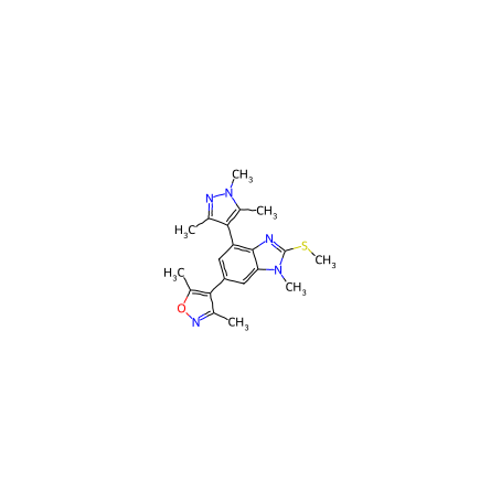 CSc1nc2c(-c3c(C)nn(C)c3C)cc(-c3c(C)noc3C)cc2n1C